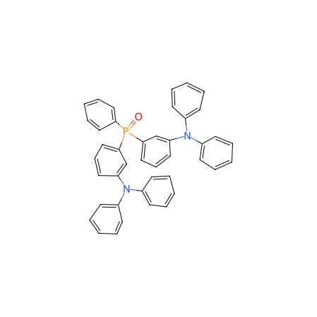 O=P(c1ccccc1)(c1cccc(N(c2ccccc2)c2ccccc2)c1)c1cccc(N(c2ccccc2)c2ccccc2)c1